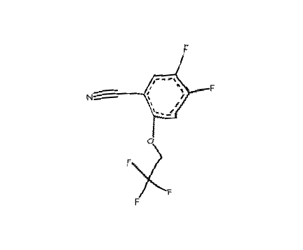 N#Cc1cc(F)c(F)cc1OCC(F)(F)F